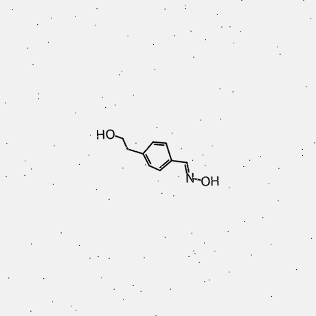 OCCc1ccc(C=NO)cc1